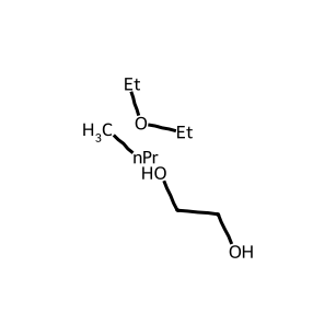 CCCC.CCOCC.OCCO